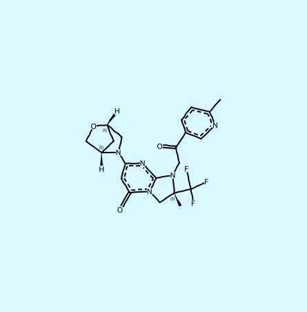 Cc1ccc(C(=O)CN2c3nc(N4C[C@@H]5C[C@H]4CO5)cc(=O)n3C[C@@]2(C)C(F)(F)F)cn1